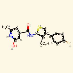 Cc1cc(C(=O)Nc2scc(-c3ccc(Br)cc3)c2C(=O)O)cc(O)n1